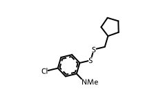 CNc1cc(Cl)ccc1SSCC1CCCC1